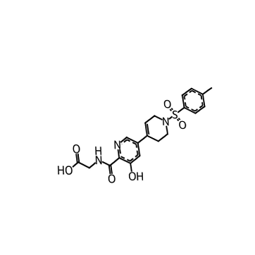 Cc1ccc(S(=O)(=O)N2CC=C(c3cnc(C(=O)NCC(=O)O)c(O)c3)CC2)cc1